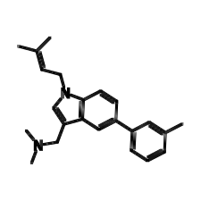 CC(C)=CCn1cc(CN(C)C)c2cc(-c3cccc(C)c3)ccc21